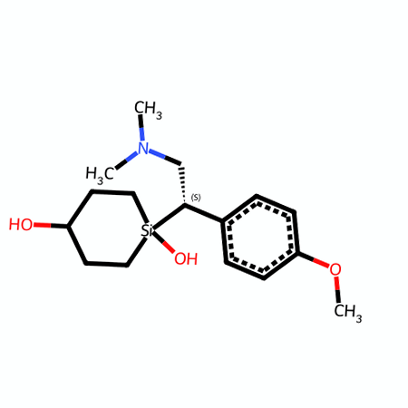 COc1ccc([C@@H](CN(C)C)[Si]2(O)CCC(O)CC2)cc1